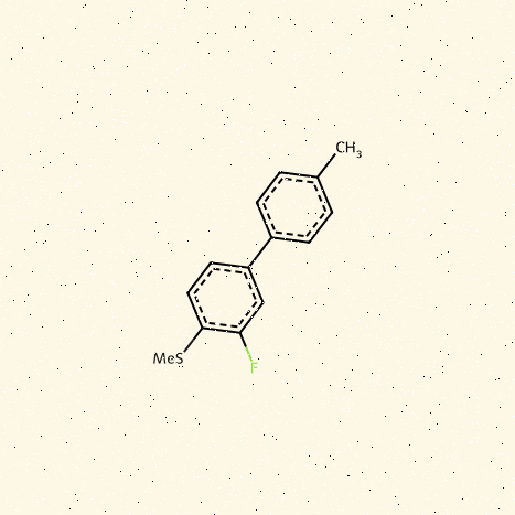 CSc1ccc(-c2ccc(C)cc2)cc1F